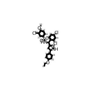 CCOc1ccc(C2CC(C(NS(=O)(=O)c3ccc(OC)c(Cl)c3)c3ccc(Cl)cc3Cl)=NN2)cc1